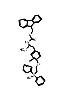 CC(C)(C)[Si](CCOc1ccc(CC(NC(=O)OCC2c3ccccc3-c3ccccc32)C(=O)O)cc1I)(c1ccccc1)c1ccccc1